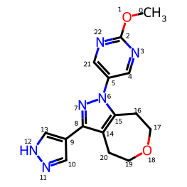 COc1ncc(-n2nc(-c3cn[nH]c3)c3c2CCOCC3)cn1